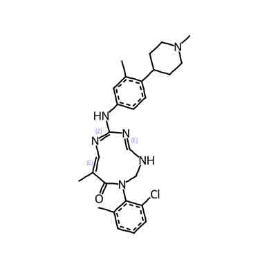 C\C1=C/N=C(Nc2ccc(C3CCN(C)CC3)c(C)c2)\N=C\NCN(c2c(C)cccc2Cl)C1=O